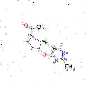 CC(=O)N1CCC(Oc2nc(C)ncc2F)C1